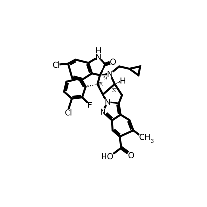 Cc1cc2c3n(nc2cc1C(=O)O)C1[C@H](C3)N(CC2CC2)[C@@]2(C(=O)Nc3cc(Cl)ccc32)[C@H]1c1cccc(Cl)c1F